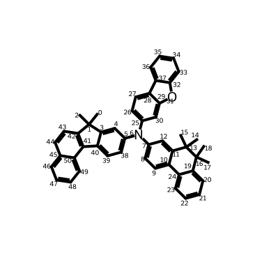 CC1(C)c2cc(N(c3ccc4c(c3)C(C)(C)C(C)(C)c3ccccc3-4)c3ccc4c(c3)oc3ccccc34)ccc2-c2c1ccc1ccccc21